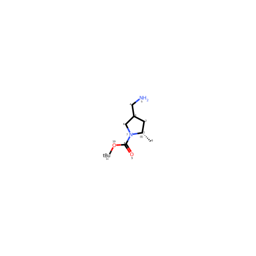 C[C@H]1CC(CN)CN1C(=O)OC(C)(C)C